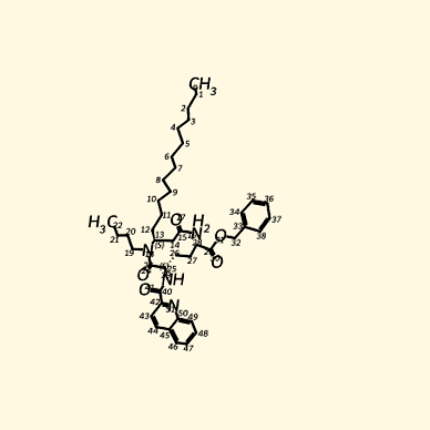 CCCCCCCCCCCCC[C@@H](CC(N)=O)N(CCCC)C(=O)[C@H](CCCC(=O)OCc1ccccc1)NC(=O)c1ccc2ccccc2n1